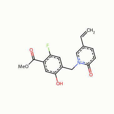 C=Cc1ccc(=O)n(Cc2cc(F)c(C(=O)OC)cc2O)c1